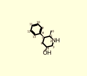 C[C@H]1NC[C@@H](O)C[C@H]1c1ccccc1